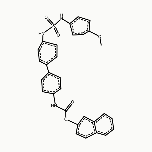 COc1ccc(NS(=O)(=O)Nc2ccc(-c3ccc(NC(=O)Oc4ccc5ccccc5c4)cc3)cc2)cc1